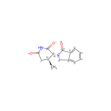 C[C@H]1CC(=O)NC(=O)[C@@H]1N1Cc2ccccc2C1=O